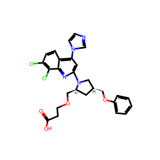 O=C(O)CCOC[C@@H]1C[C@@H](COc2ccccc2)CN1c1cc(-n2ccnc2)c2ccc(Cl)c(Cl)c2n1